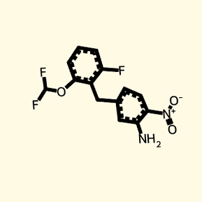 Nc1cc(Cc2c(F)cccc2OC(F)F)ccc1[N+](=O)[O-]